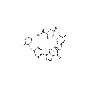 Cc1cc2cc(C(=O)c3cnn(-c4cnc(Oc5ccccc5F)cc4C)c3N)[nH]c2cc1NS(=O)(=O)CC(=O)NC(C)C